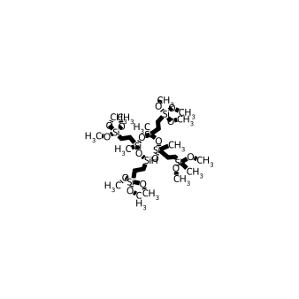 CO[Si](C)(CC[Si]1(C)O[SiH](CC[Si](OC)(OC)OC)O[Si](C)(CC[Si](OC)(OC)OC)O[Si](C)(CC[Si](OC)(OC)OC)O1)OC